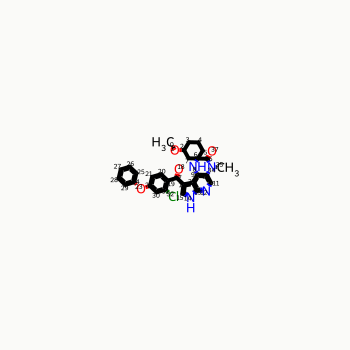 COC1CCCC2(C1)Nc1c(cnc3[nH]cc(C(=O)c4ccc(Oc5ccccc5)cc4Cl)c13)N(C)C2=O